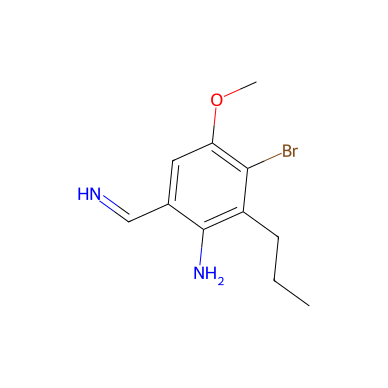 CCCc1c(N)c(C=N)cc(OC)c1Br